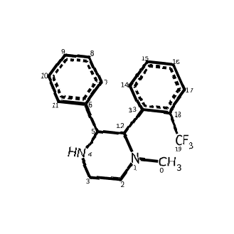 CN1CCNC(c2ccccc2)C1c1ccccc1C(F)(F)F